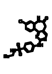 CCC(C)CNS(=O)(=O)c1ccc(Nc2ncc3c(n2)-c2ccc(Cl)cc2NC(=O)C3)cc1